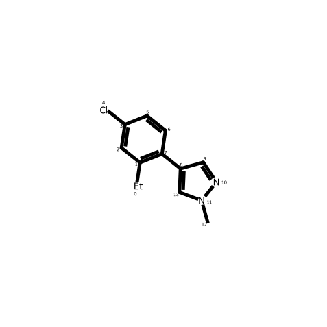 CCc1cc(Cl)ccc1-c1cnn(C)c1